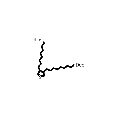 CCCCCCCCCCCCCCCCCCc1cscc1CCCCCCCCCCCCCCCCCC